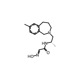 Cc1ccc2c(c1)CCCN(C[C@H](C)NC(=O)/C=N/O)C2